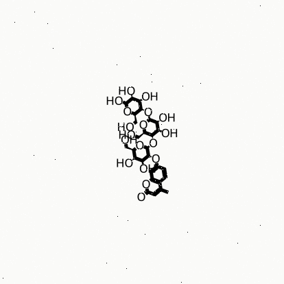 Cc1cc(=O)oc2cc(O[C@H]3[C@H](O[C@H]4[C@H](O)[C@@H](O)[C@H](O[C@H]5[C@H](O)[C@@H](O)C(O)O[C@@H]5CO)O[C@@H]4CO)O[C@H](CO)[C@@H](O)[C@@H]3O)ccc12